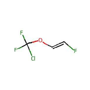 FC=COC(F)(F)Cl